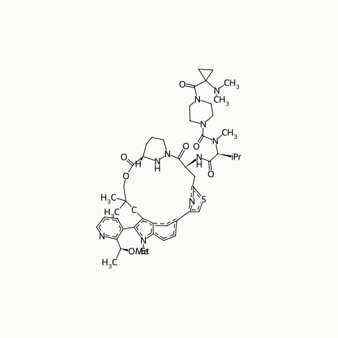 CCn1c(-c2cccnc2[C@H](C)OC)c2c3cc(ccc31)-c1csc(n1)C[C@H](NC(=O)[C@H](C(C)C)N(C)C(=O)N1CCN(C(=O)C3(N(C)C)CC3)CC1)C(=O)N1CCC[C@H](N1)C(=O)OCC(C)(C)C2